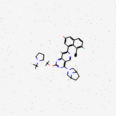 [2H]C([2H])(Oc1nc(N2C[C@H]3CC[C@@H](C2)N3)c2cnc(-c3cc(O)cc4ccc(F)c(C#C)c34)c(F)c2n1)[C@@H]1CCCN1C([2H])([2H])[2H]